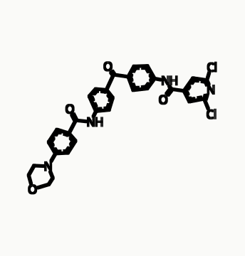 O=C(Nc1ccc(C(=O)c2ccc(NC(=O)c3cc(Cl)nc(Cl)c3)cc2)cc1)c1ccc(N2CCOCC2)cc1